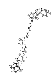 C[C@@H](C(=O)NC1CCN(C(=O)CCOCCOCCNc2cccc3c2C(=O)N(C2CCC(=O)NC2=O)C3=O)CC1)C1CCC(c2ccnc3ccc(F)cc23)CC1